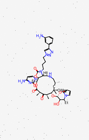 CCO[C@@H](O[C@@H]1[C@@H](C)C(=O)[C@@H](C)C(=O)O[C@H](CC)[C@@]2(n3ccc(N)nc3=O)OC(=O)N(CCCCn3cc(-c4cccc(N)c4)nn3)[C@@H]2[C@@H](C)NC[C@H](C)C[C@@]1(C)OC)C(O)C(CC)n1cccc1